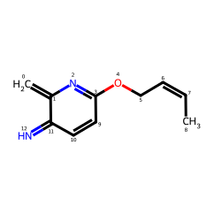 C=C1N=C(OC/C=C\C)C=CC1=N